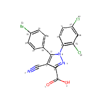 N#Cc1c(C(=O)O)nn(-c2ccc(Cl)cc2Cl)c1-c1ccc(Br)cc1